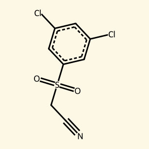 N#CCS(=O)(=O)c1cc(Cl)cc(Cl)c1